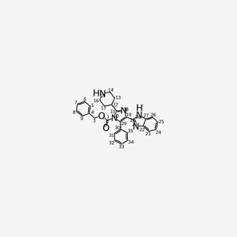 O=C(OCc1ccccc1)n1c(C2CCNCC2)nc(-c2nc3ccccc3[nH]2)c1-c1ccccc1